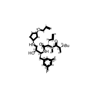 C=CCO[C@@H]1CC[C@H](NC[C@@H](O)[C@H](Cc2cc(F)cc(F)c2)NC(=O)[C@H](CC=C)N(C)C(=O)[C@@H](C)CCCC)C1